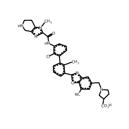 Cc1c(-c2nc3cc(CN4CCC(C(=O)O)C4)cc(C#N)c3o2)cccc1-c1cccc(NC(=O)c2nc3c(n2C)CCNC3)c1Cl